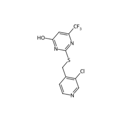 Oc1cc(C(F)(F)F)nc(SCc2ccncc2Cl)n1